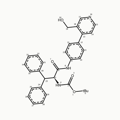 CC(C)(C)OC(=O)N[C@H](C(=O)Nc1ccc(-c2ccncc2CO)cc1)C(c1ccccc1)c1ccccc1